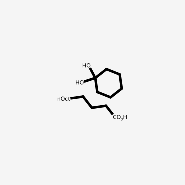 CCCCCCCCCCCC(=O)O.OC1(O)CCCCC1